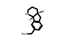 CC[C@]12CCCN[C@H]1c1cc(COC)ccc1C2